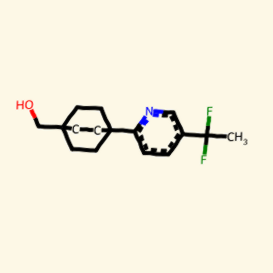 CC(F)(F)c1ccc(C23CCC(CO)(CC2)CC3)nc1